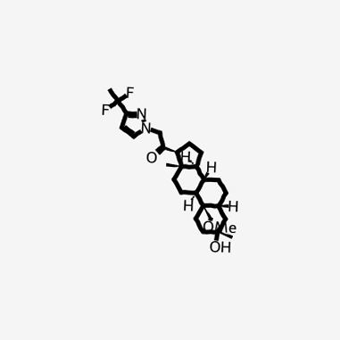 COC[C@]12CC[C@@](C)(O)C[C@H]1CC[C@H]1[C@@H]3CC[C@H](C(=O)Cn4ccc(C(C)(F)F)n4)[C@@]3(C)CC[C@@H]12